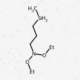 CCON(CCC[SiH2]C)OCC